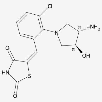 N[C@H]1CN(c2c(Cl)cccc2C=C2SC(=O)NC2=O)C[C@@H]1O